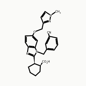 Cn1ccc(COc2ccc3nc([C@@H]4CCCC[C@@H]4C(=O)O)n(Cc4cccc(C#N)c4)c3c2)n1